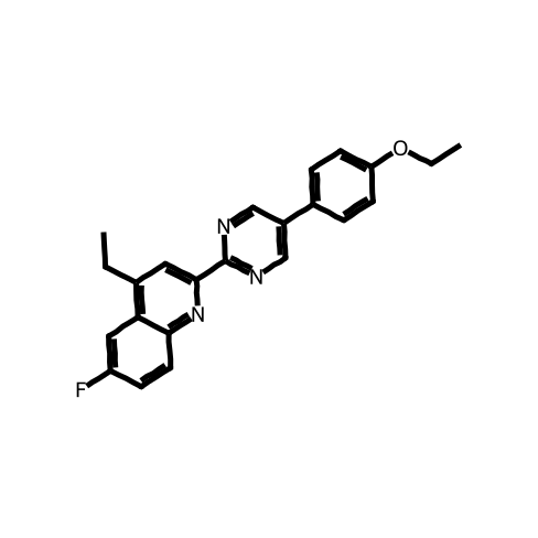 CCOc1ccc(-c2cnc(-c3cc(CC)c4cc(F)ccc4n3)nc2)cc1